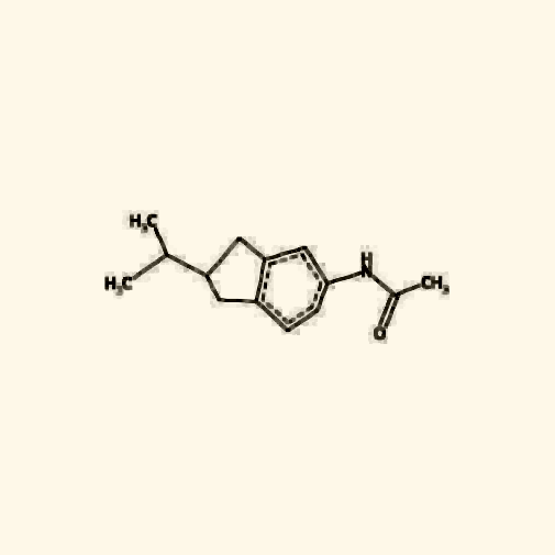 CC(=O)Nc1ccc2c(c1)CC(C(C)C)C2